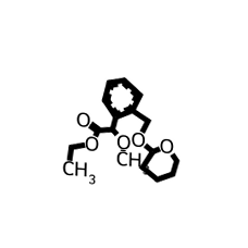 CCOC(=O)C(OC)c1ccccc1COC1CCCCO1